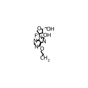 C=CCOc1ncnc2c1ncn2[C@@]1(F)CO[C@H](CO)[C@H]1O